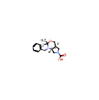 CC1(C)OC[C@H]2CN(C(=O)O)C[C@H]2N1Cc1ccccc1